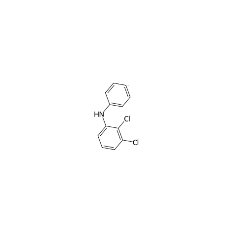 Clc1cccc(Nc2cc[c]cc2)c1Cl